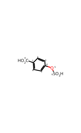 O=C(O)c1ccc(OS(=O)(=O)O)cc1